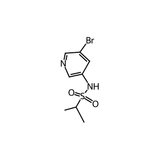 CC(C)S(=O)(=O)Nc1cncc(Br)c1